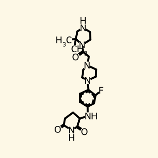 CC1(C)CNCCN1C(=O)CN1CCN(c2ccc(NC3CCC(=O)NC3=O)cc2F)CC1